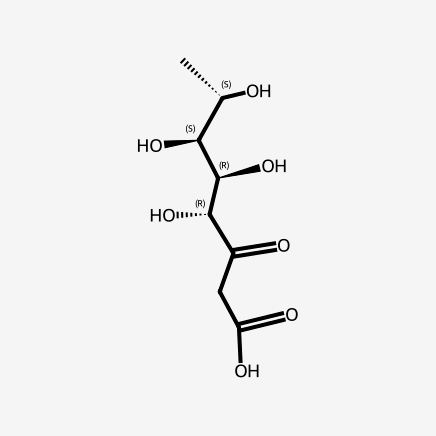 C[C@H](O)[C@H](O)[C@@H](O)[C@@H](O)C(=O)CC(=O)O